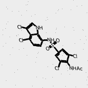 CC(=O)Nc1c(Cl)cc(S(=O)(=O)Nc2ccc(Cl)c3c(Cl)c[nH]c23)cc1Cl